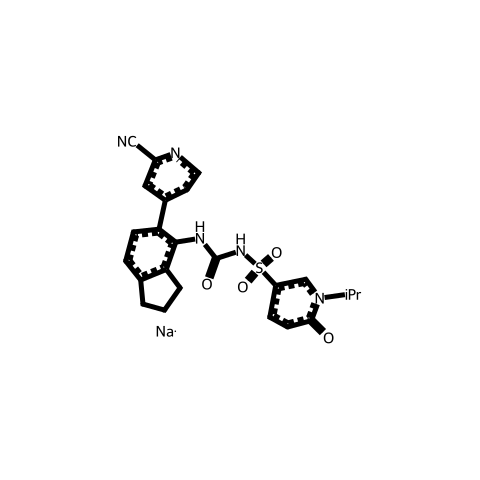 CC(C)n1cc(S(=O)(=O)NC(=O)Nc2c(-c3ccnc(C#N)c3)ccc3c2CCC3)ccc1=O.[Na]